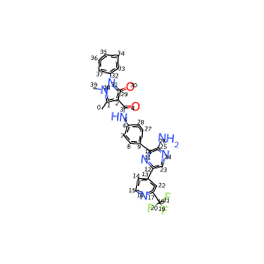 Cc1c(C(=O)Nc2ccc(-c3nc(-c4ccnc(C(F)(F)F)c4)cnc3N)cc2)c(=O)n(-c2ccccc2)n1C